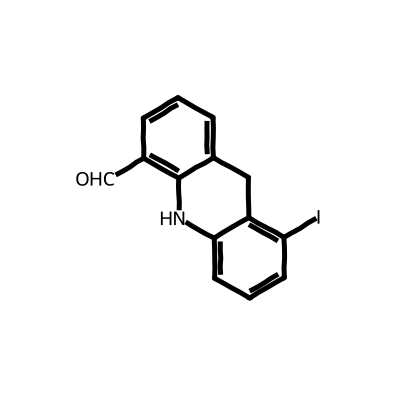 O=Cc1cccc2c1Nc1cccc(I)c1C2